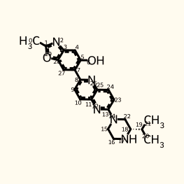 Cc1nc2cc(O)c(-c3ccc4nc(N5CCN[C@@H](C(C)C)C5)ccc4n3)cc2o1